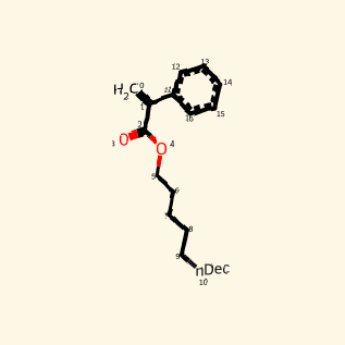 C=C(C(=O)OCCCCCCCCCCCCCCC)c1ccccc1